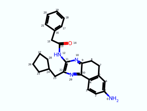 Nc1ccc2c(c1)CCc1nc(NC(=O)Cc3ccccc3)c(CC3CCCC3)nc1-2